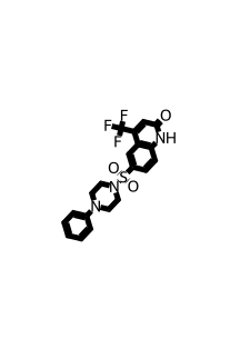 O=c1cc(C(F)(F)F)c2cc(S(=O)(=O)N3CCN(c4ccccc4)CC3)ccc2[nH]1